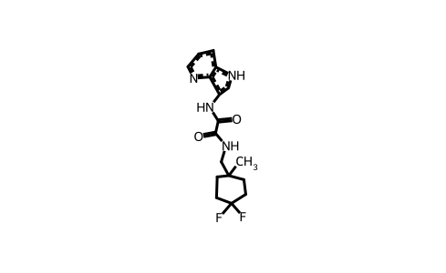 CC1(CNC(=O)C(=O)Nc2c[nH]c3cccnc23)CCC(F)(F)CC1